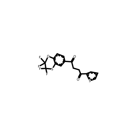 O=C(CCC(=O)c1cccs1)c1ccc2c(c1)SC(F)(F)C(F)(F)O2